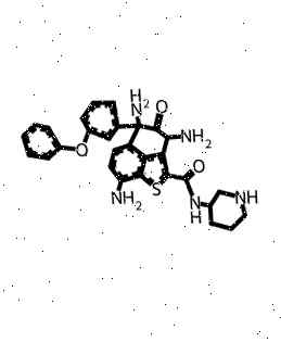 Nc1ccc2c3c(c(C(=O)NC4CCCNC4)sc13)C(N)C(=O)C2(N)c1cccc(Oc2ccccc2)c1